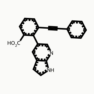 O=C(O)c1cccc(C#Cc2ccccc2)c1-c1cnc2[nH]ccc2c1